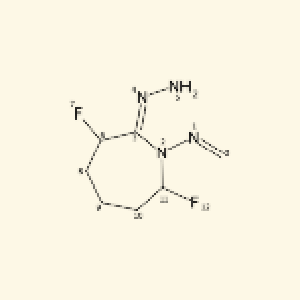 C=NN1/C(=N\N)C(F)CCCC1F